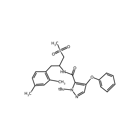 Cc1ccc(CC(CS(C)(=O)=O)NC(=O)c2c(Oc3ccccc3)cnn2C(C)(C)C)c(C)c1